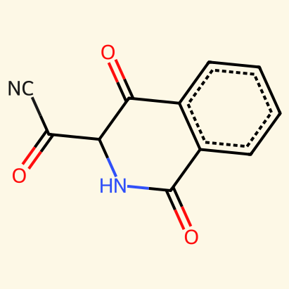 N#CC(=O)C1NC(=O)c2ccccc2C1=O